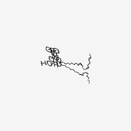 CCCCC/C=C\C/C=C\CCCCCCCCC1(CCCCCCCC/C=C\C/C=C\CCCCC)O[C@H]2[C@H](O1)[C@@H](CO)O[C@H]2COS(C)(=O)=O